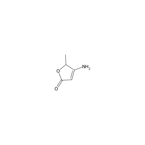 CC1OC(=O)C=C1N